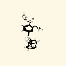 COc1cc(OC23CC4CC(C2)C(=O)C(C4)C3)ccc1[N+](=O)[O-]